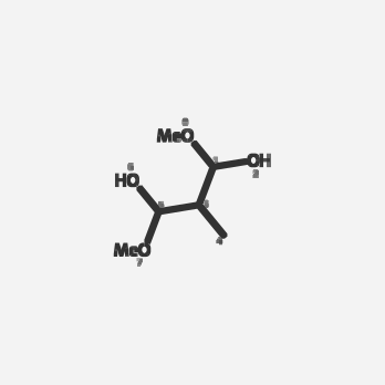 COC(O)C(C)C(O)OC